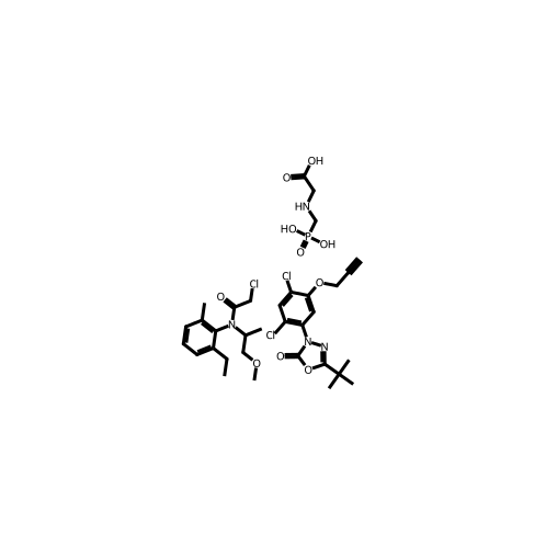 C#CCOc1cc(-n2nc(C(C)(C)C)oc2=O)c(Cl)cc1Cl.CCc1cccc(C)c1N(C(=O)CCl)C(C)COC.O=C(O)CNCP(=O)(O)O